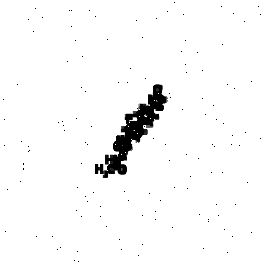 CC(=O)NCC1CC(c2ccc(C3CCN(C4=NC(=O)CS4)CC3)c(F)c2)=NO1